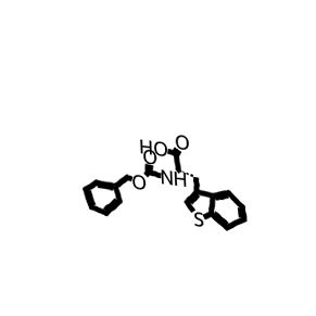 O=C(N[C@@H](Cc1csc2ccccc12)C(=O)O)OCc1ccccc1